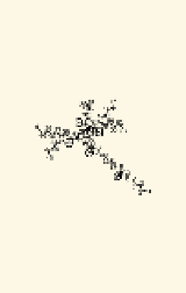 CCCCCCOC(=O)CCCCCCCC(=O)OCC(COC(=O)CCCN(C)C)(COC(=O)CC(CCCCC)CCCCC)COC(=O)CC(CCCCC)CCCCC